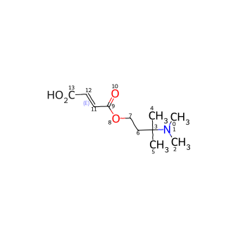 CN(C)C(C)(C)CCOC(=O)/C=C/C(=O)O